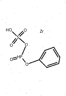 O=[PH](Oc1ccccc1)OS(=O)(=O)O.[Zr]